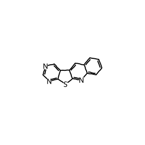 c1ccc2nc3sc4ncncc4c3cc2c1